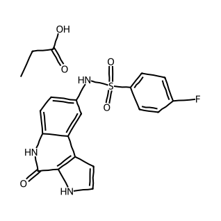 CCC(=O)O.O=c1[nH]c2ccc(NS(=O)(=O)c3ccc(F)cc3)cc2c2cc[nH]c12